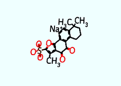 Cc1c(S(=O)(=O)[O-])oc2c1C(=O)C(=O)c1c-2ccc2c1CCCC2(C)C.[Na+]